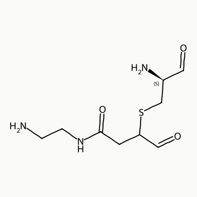 NCCNC(=O)CC(C=O)SC[C@@H](N)C=O